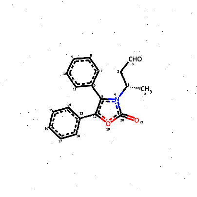 C[C@@H](CC=O)n1c(-c2ccccc2)c(-c2ccccc2)oc1=O